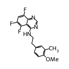 COc1ccc(CCNc2ncnc3c(F)cc(F)c(F)c23)cc1C